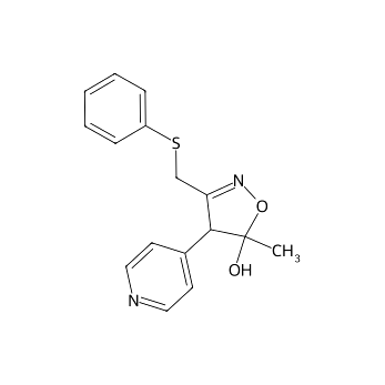 CC1(O)ON=C(CSc2ccccc2)C1c1ccncc1